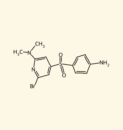 CN(C)c1cc(S(=O)(=O)c2ccc(N)cc2)cc(Br)n1